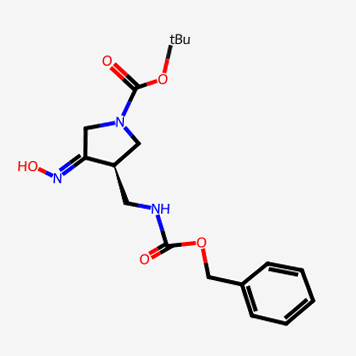 CC(C)(C)OC(=O)N1C/C(=N\O)[C@H](CNC(=O)OCc2ccccc2)C1